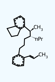 C/C=C/c1ccccc1CCC[C@@H](CCC)[C@H](C)c1cccc2c1CCC2